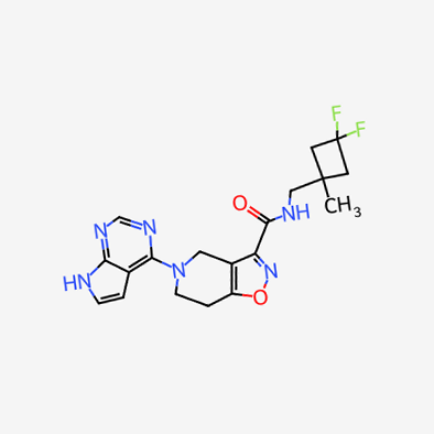 CC1(CNC(=O)c2noc3c2CN(c2ncnc4[nH]ccc24)CC3)CC(F)(F)C1